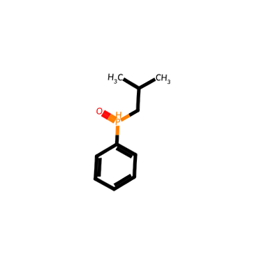 CC(C)C[PH](=O)c1ccccc1